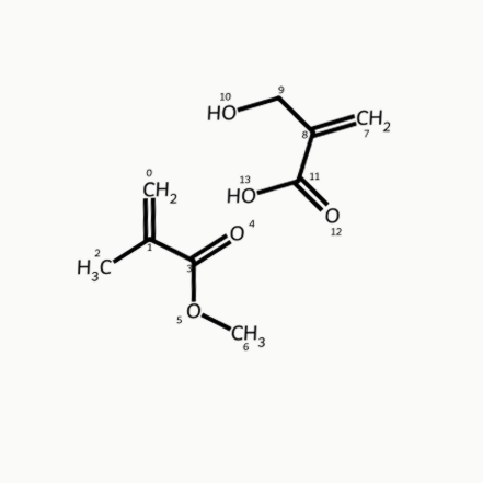 C=C(C)C(=O)OC.C=C(CO)C(=O)O